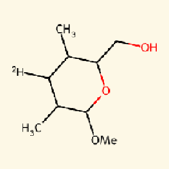 [2H]C1C(C)C(CO)OC(OC)C1C